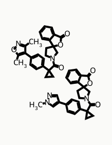 Cc1noc(C)c1-c1ccc(C2(C(=O)N3CCC4(C3)OC(=O)c3ccccc34)CC2)cc1.Cn1cc(-c2ccc(C3(C(=O)N4CCC5(C4)OC(=O)c4ccccc45)CC3)cc2)cn1